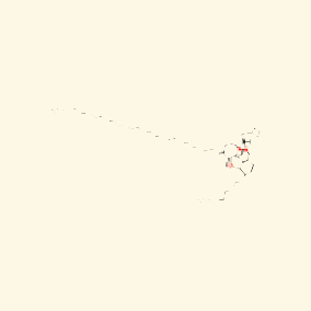 COCCOCCOCCOCCOCCOCCOCCOCCO[C@H]1CC[C@@]2(O)[C@H]3Cc4ccc(OCOCCOC)c5c4[C@@]2(CCN3CC2CCC2)[C@H]1O5